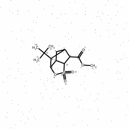 COC(=O)C1C2CC3C(OS(=O)(=O)C31)C2C(C)(C)C